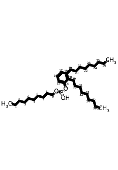 CCCCCCCCCCOP(O)Oc1cccc(CCCCCCCCC)c1CCCCCCCCC